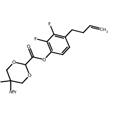 C=CCCc1ccc(OC(=O)C2OCC(F)(CCC)CO2)c(F)c1F